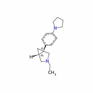 CCN1C[C@@H]2C[C@]2(c2ccc(N3CCCC3)cc2)C1